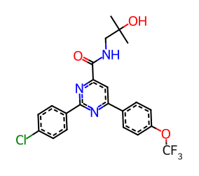 CC(C)(O)CNC(=O)c1cc(-c2ccc(OC(F)(F)F)cc2)nc(-c2ccc(Cl)cc2)n1